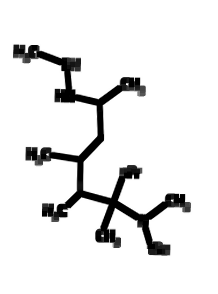 CBNC(C)CC(C)C(C)C(C)(CCC)N(C)C(C)(C)C